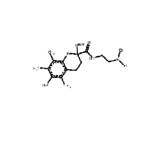 CCCCCCC1(C(=O)NCCN(CC)CC)CCc2c(C)c(O)c(C)c(C)c2O1